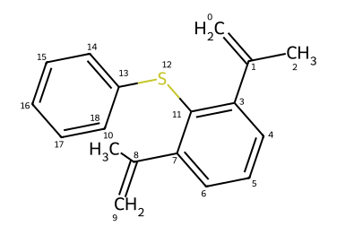 C=C(C)c1cccc(C(=C)C)c1Sc1ccccc1